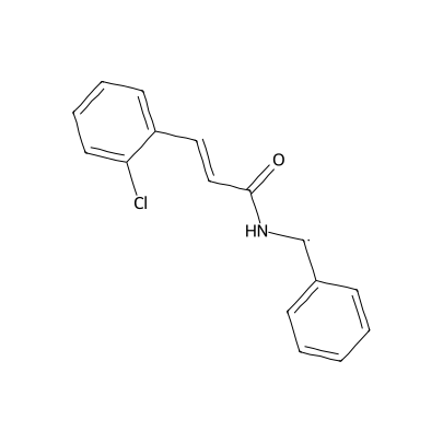 O=C(C=Cc1ccccc1Cl)N[CH]c1ccccc1